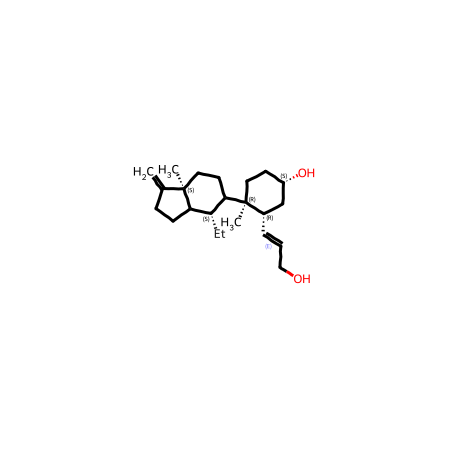 C=C1CCC2[C@@H](CC)C([C@@]3(C)CC[C@H](O)C[C@@H]3/C=C/CO)CC[C@]12C